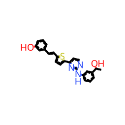 CC(O)c1cccc(Nc2nccc(-c3ccc(/C=C/c4cccc(O)c4)s3)n2)c1